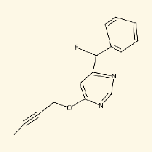 CC#CCOc1cc(C(F)c2ccccc2)ncn1